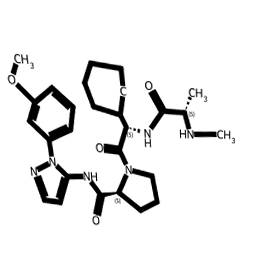 CN[C@@H](C)C(=O)N[C@H](C(=O)N1CCC[C@H]1C(=O)Nc1ccnn1-c1cccc(OC)c1)C1CCCCC1